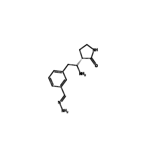 NN=Cc1cccc(CC(N)[C@@H]2CCNC2=O)c1